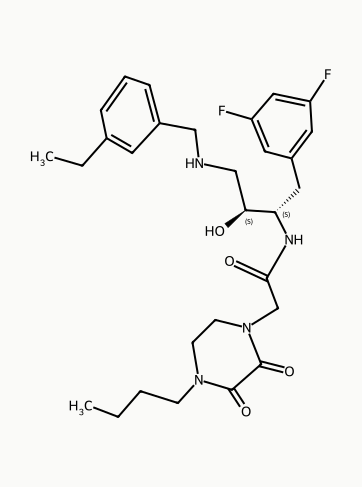 CCCCN1CCN(CC(=O)N[C@@H](Cc2cc(F)cc(F)c2)[C@@H](O)CNCc2cccc(CC)c2)C(=O)C1=O